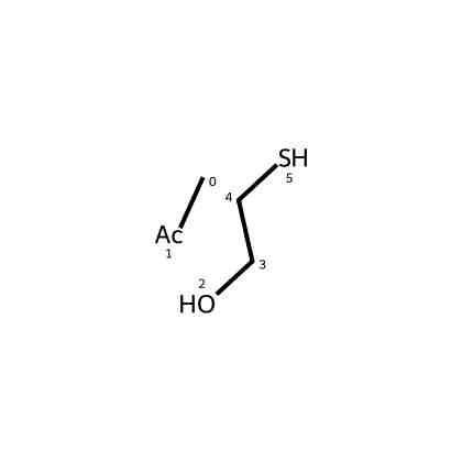 CC(C)=O.OCCS